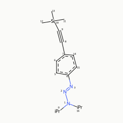 CC(C)N(N=Nc1ccc(C#C[Si](C)(C)C)cc1)C(C)C